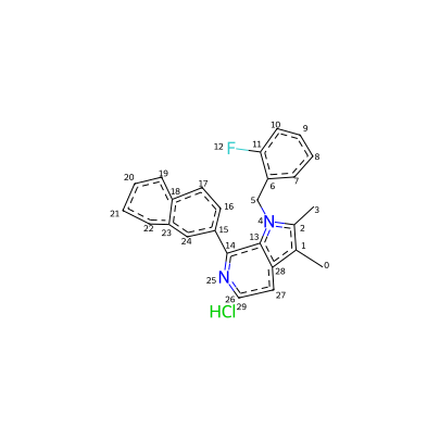 Cc1c(C)n(Cc2ccccc2F)c2c(-c3ccc4ccccc4c3)nccc12.Cl